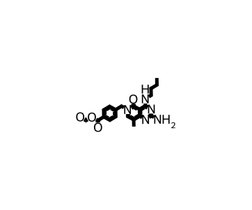 CCCCNc1nc(N)nc2c(C)cn(Cc3ccc(C(=O)OC=O)cc3)c(=O)c12